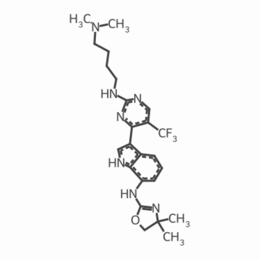 CN(C)CCCCNc1ncc(C(F)(F)F)c(-c2c[nH]c3c(NC4=NC(C)(C)CO4)cccc23)n1